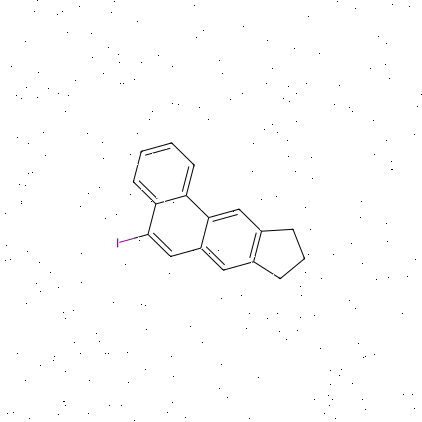 Ic1cc2cc3c(cc2c2ccccc12)CCC3